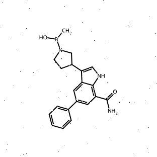 CB(O)N1CCC(c2c[nH]c3c(C(N)=O)cc(-c4ccccc4)cc23)C1